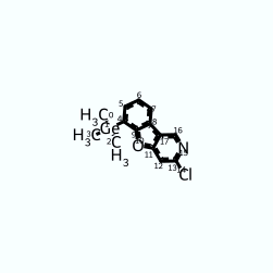 [CH3][Ge]([CH3])([CH3])[c]1cccc2c1oc1cc(Cl)ncc12